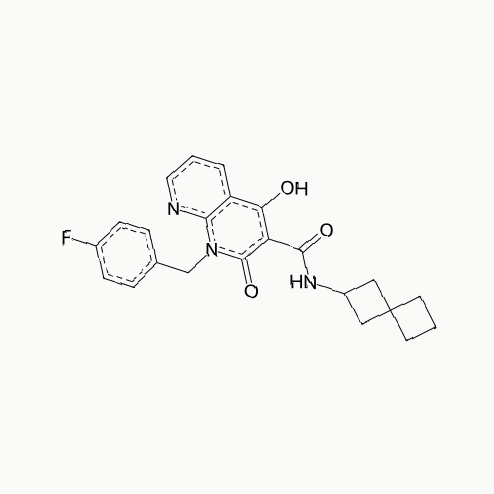 O=C(NC1CC2(CCC2)C1)c1c(O)c2cccnc2n(Cc2ccc(F)cc2)c1=O